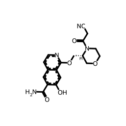 N#CCC(=O)N1CCOC[C@@H]1COc1nccc2cc(C(N)=O)c(O)cc12